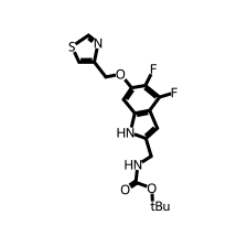 CC(C)(C)OC(=O)NCc1cc2c(F)c(F)c(OCc3cscn3)cc2[nH]1